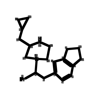 CC(C)C(Cc1ccc2c(c1)CCC2)N1CCNC(CC2CC2)C1